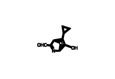 O=Cc1nc2oc1c(C1CC1)c2O